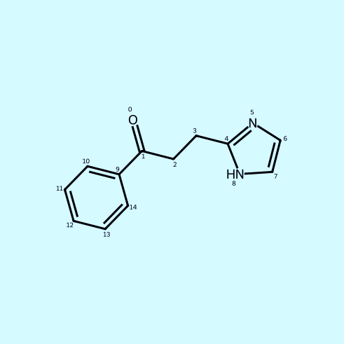 O=C(CCc1ncc[nH]1)c1ccccc1